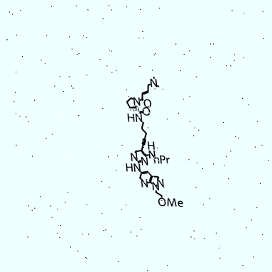 CCCNc1nc(Nc2cnc3c(cnn3CCOC)c2)ncc1C#CCCCNC(=O)[C@@H]1CCCN1C(=O)C=CCN(C)C